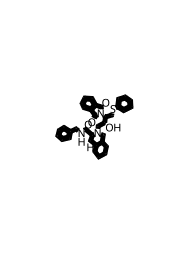 O=C(NCc1ccccc1)C1C[C@@H]2CCCCC2CN1CC(O)C(CSc1ccccc1)N1C(=O)c2ccccc2C1=O